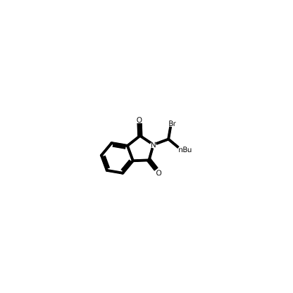 CCCCC(Br)N1C(=O)c2ccccc2C1=O